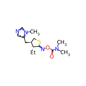 CC[C@H]1C(=NOC(=O)N(C)C)SC[C@@H]1Cc1cncn1C